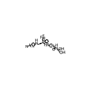 CC(C)(C#N)c1ccc(NCC#Cc2cc3c(NC4CCN(CC(=O)NCC(O)CO)CC4)cccc3n2CC(F)(F)F)cn1